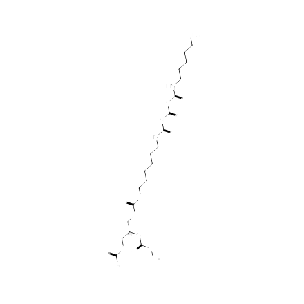 CC(C)(C)CCCCCNC(=O)NC(=O)NC(=O)NCCCCCCNC(=O)OC[C@H](COC(N)=O)NC(=O)OC(C)(C)C